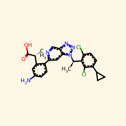 C[C@H](c1c(Cl)ccc(C2CC2)c1Cl)n1nnc2cnc(-c3ccc(N)cc3[C@@H](C)C(=O)O)cc21